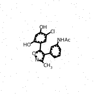 CC(=O)Nc1cccc(-c2c(C)noc2-c2cc(Cl)c(O)cc2O)c1